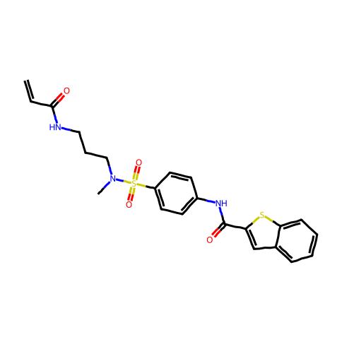 C=CC(=O)NCCCN(C)S(=O)(=O)c1ccc(NC(=O)c2cc3ccccc3s2)cc1